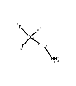 C[NH3+].F[B-](F)(F)F